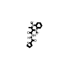 Cc1c(C(=O)NNC(=O)c2cccs2)[n+]([O-])c2ccccc2[n+]1[O-]